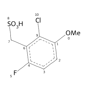 COc1ccc(F)c(CS(=O)(=O)O)c1Cl